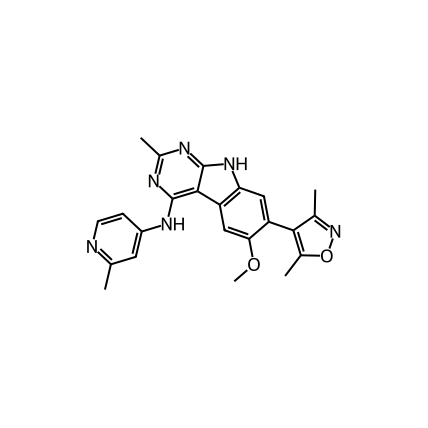 COc1cc2c(cc1-c1c(C)noc1C)[nH]c1nc(C)nc(Nc3ccnc(C)c3)c12